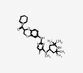 CN(c1nc(Nc2ccc3c(c2)OCC(C(=O)N2CCCCC2)O3)ncc1F)C1CC(C)(C)NC(C)(C)C1